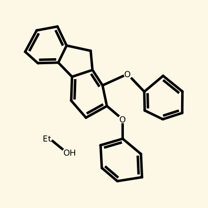 CCO.c1ccc(Oc2ccc3c(c2Oc2ccccc2)Cc2ccccc2-3)cc1